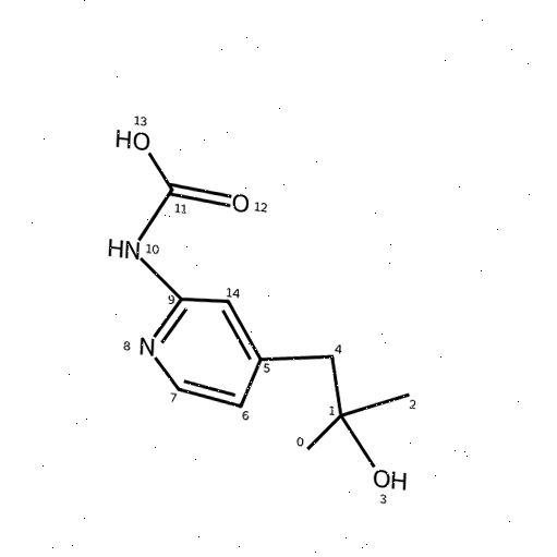 CC(C)(O)Cc1ccnc(NC(=O)O)c1